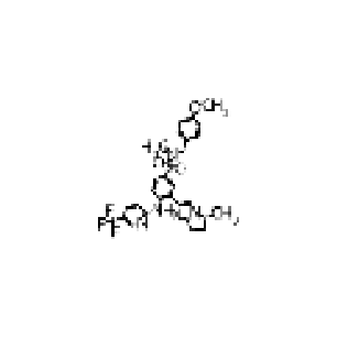 COc1ccc(CN(C)S(=O)(=O)c2ccc(Nc3ccc(C(F)(F)F)cn3)c(-c3cn4c(n3)CCC4C)c2)cc1